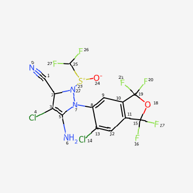 N#CC1C(Cl)=C(N)N(c2cc3c(cc2Cl)C(F)(F)OC3(F)F)N1[S+]([O-])C(F)F